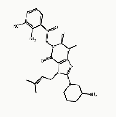 CC(C)=CCn1c(N2CCCC(N)C2)nc2c1c(=O)n(CC(=O)c1cccc(C#N)c1N)c(=O)n2C